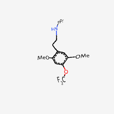 CCCNCCc1cc(OC)c(OC(F)(F)F)cc1OC